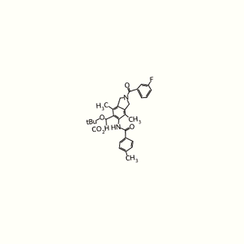 Cc1ccc(C(=O)Nc2c(C)c3c(c(C)c2C(OC(C)(C)C)C(=O)O)CN(C(=O)c2cccc(F)c2)C3)cc1